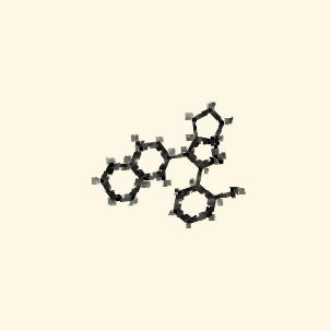 Fc1ccccc1-c1nn2c(c1-c1cnc3ccccc3n1)CCC2